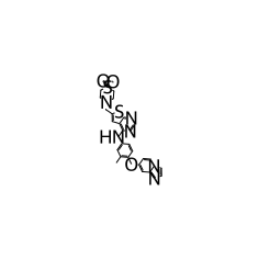 Cc1cc(Nc2ncnc3sc(CN4CCS(=O)(=O)CC4)cc23)ccc1Oc1ccn2ccnc2c1